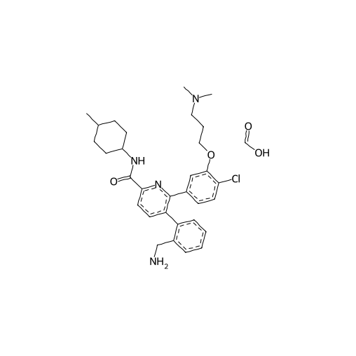 CC1CCC(NC(=O)c2ccc(-c3ccccc3CN)c(-c3ccc(Cl)c(OCCCN(C)C)c3)n2)CC1.O=CO